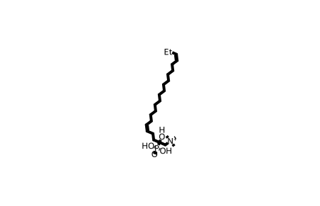 CC/C=C\CCCCCCCCCCCC/C=C\CCC(O)(C[N+](C)(C)C)P(=O)(O)O